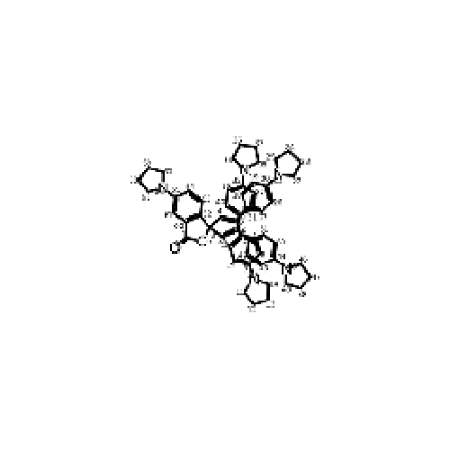 O=C1OC(C=C(c2ccc(N3CCCC3)cc2)c2ccc(N3CCCC3)cc2)(C=C(c2ccc(N3CCCC3)cc2)c2ccc(N3CCCC3)cc2)c2ccc(N3CCCC3)cc21